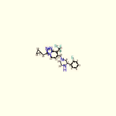 Fc1ccccc1C1CN(Cc2ccn3c(CC4CC4)nnc3c2C(F)(F)F)CCN1